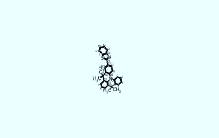 CC1(C)c2ccccc2N2c3ccc(-c4nc5ccccc5s4)cc3C(C)(C)c3cccc1c32